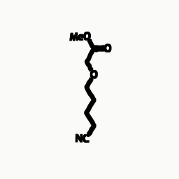 COC(=O)COCCCCC#N